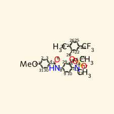 COc1ccc(C(=O)Nc2ccc(N(C)S(C)(=O)=O)c(OCc3cc(C(F)(F)F)ccc3C)c2)cc1